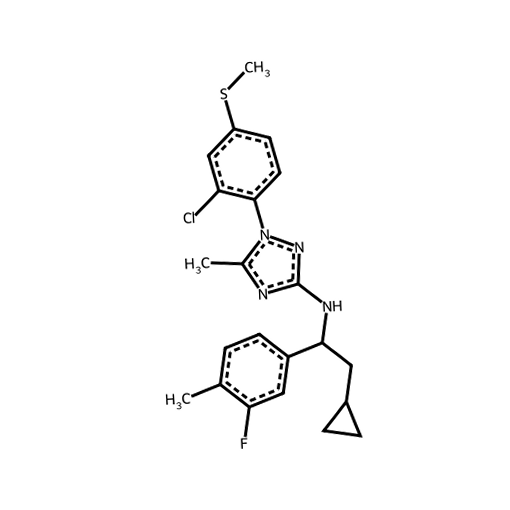 CSc1ccc(-n2nc(NC(CC3CC3)c3ccc(C)c(F)c3)nc2C)c(Cl)c1